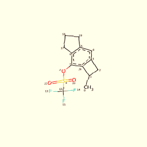 CC1Cc2cc3c(c(OS(=O)(=O)C(F)(F)F)c21)CCC3